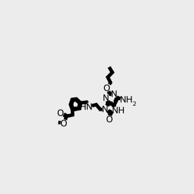 CCCCOc1nc(N)c2[nH]c(=O)n(CCNCc3cccc(CC(=O)OC)c3)c2n1